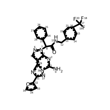 Nc1nc2c(cnn2C(C(=O)NCc2ccc(C(F)(F)F)cc2)c2ccccc2)c2nc(-c3ccco3)nn12